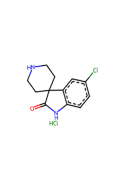 Cl.O=C1Nc2ccc(Cl)cc2C12CCNCC2